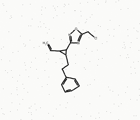 C=CC1C(CCc2ccccc2)C1c1noc(CCl)n1